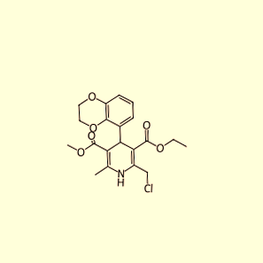 CCOC(=O)C1=C(CCl)NC(C)=C(C(=O)OC)C1c1cccc2c1OCCO2